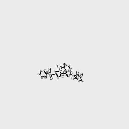 Nc1nccn2c([C@H]3N[C@@H]4CC[C@H]3C4)nc(-c3ccc(C(=O)Nc4ccccn4)cc3)c12